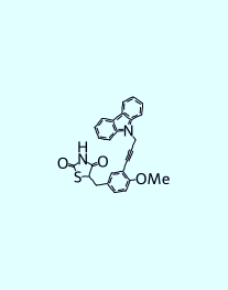 COc1ccc(CC2SC(=O)NC2=O)cc1C#CCn1c2ccccc2c2ccccc21